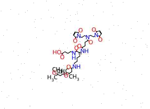 COC(C)(C)CCOC(C)(C)CC(=O)NCCCC[C@H](NC(=O)CCC(=O)N(CCN1C(=O)C=CC1=O)CCN1C(=O)C=CC1=O)C(=O)NCCCC(=O)O